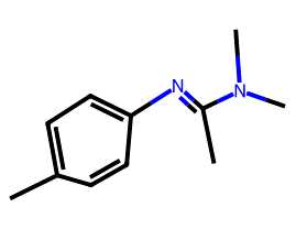 C/C(=N\c1ccc(C)cc1)N(C)C